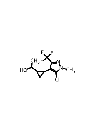 [CH2]C(O)C1CC1c1c(C(F)(F)F)nn(C)c1Cl